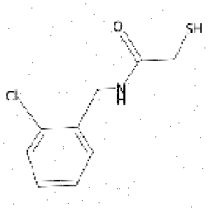 O=C(CS)NCc1ccccc1Cl